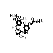 CNC(=O)COc1ccc(Nc2nc(Nc3ccc(C)c(S(N)(=O)=O)c3)ncc2C)cc1Cl